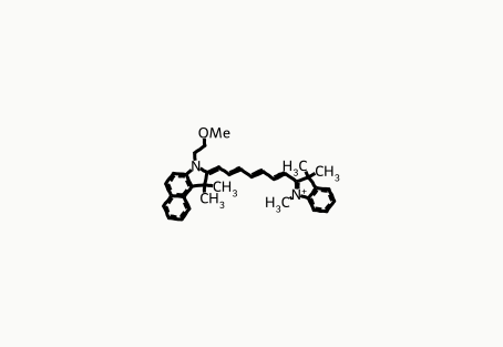 COCCN1/C(=C/C=C/C=C/C=C/C2=[N+](C)c3ccccc3C2(C)C)C(C)(C)c2c1ccc1ccccc21